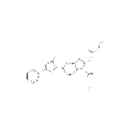 CCOC(=O)Oc1cc2cc(-c3nc(-c4ccccn4)sc3C)ccc2n1C(=O)OCC